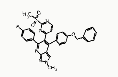 Cn1cc2c(-c3ccc(OCc4ccccc4)cc3)c(-c3ccnc(S(C)(=O)=O)n3)c(-c3ccc(F)cc3)nc2n1